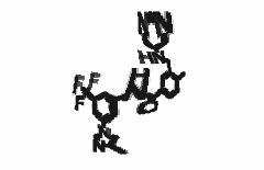 Cc1cn(-c2cc(NC(=O)c3ccc(C)c(CNc4cncnc4)c3)cc(C(F)(F)F)c2)cn1